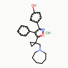 Cl.Oc1ccc(-c2noc(C3(CN4CCCCCC4)CC3)c2-c2ccccc2)cc1